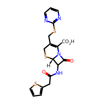 O=C(Cc1cccs1)NC1C(=O)N2C(C(=O)O)=C(CSc3ncccn3)CS[C@@H]12